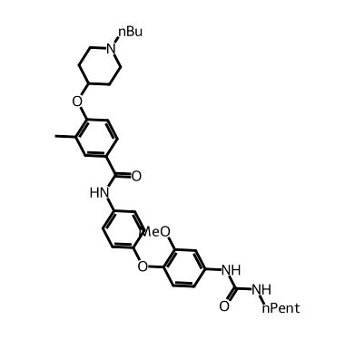 CCCCCNC(=O)Nc1ccc(Oc2ccc(NC(=O)c3ccc(OC4CCN(CCCC)CC4)c(C)c3)cc2)c(OC)c1